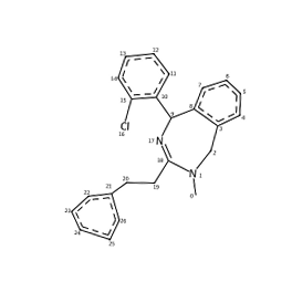 CN1Cc2ccccc2C(c2ccccc2Cl)N=C1CCc1ccccc1